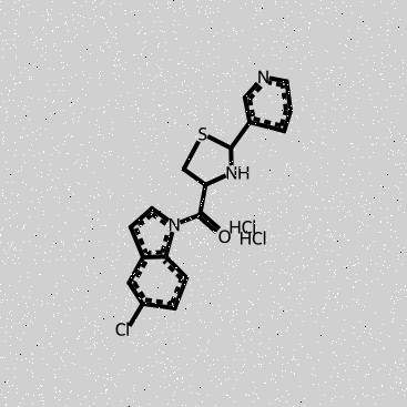 Cl.Cl.O=C(C1CSC(c2cccnc2)N1)n1ccc2cc(Cl)ccc21